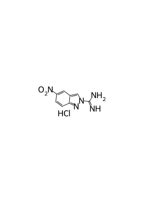 Cl.N=C(N)n1cc2cc([N+](=O)[O-])ccc2n1